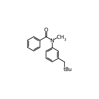 CN(C(=O)c1ccccc1)c1cccc(CC(C)(C)C)c1